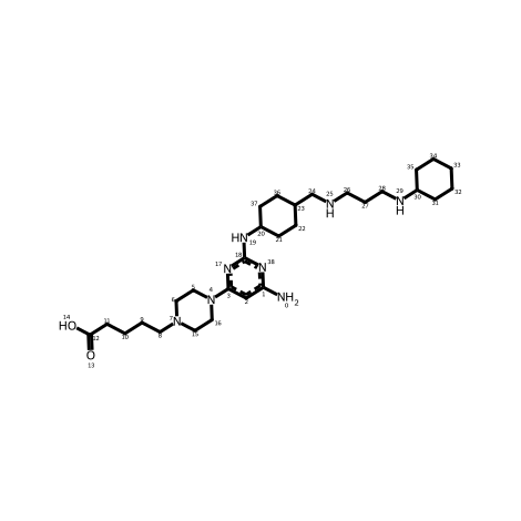 Nc1cc(N2CCN(CCCCC(=O)O)CC2)nc(NC2CCC(CNCCCNC3CCCCC3)CC2)n1